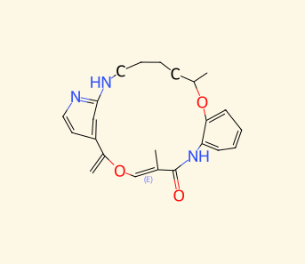 C=C1O/C=C(\C)C(=O)Nc2ccccc2OC(C)CCCCNc2cc1ccn2